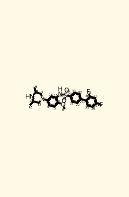 COc1ccc(N2CC(C)NC(C)C2)cc1NS(=O)(=O)c1ccc(-c2ccc(F)cc2F)cc1